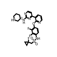 O=S(=O)(CC1(F)CC1)Nc1ccc(Oc2ncccc2-c2ccnc(N[C@H]3CCCNC3)n2)c(F)c1F